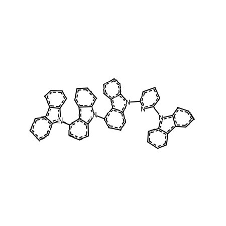 c1cc(-n2c3ccccc3c3ccccc32)nc(-n2c3ccccc3c3c(-n4c5ccccc5c5c(-n6c7ccccc7c7ccccc76)cccc54)cccc32)c1